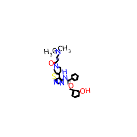 CN(C)C/C=C/C(=O)N1CCc2c(sc3ncnc(N[C@H](COCc4cccc(O)c4)c4ccccc4)c23)C1